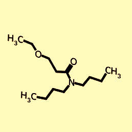 CCCCN(CCCC)C(=O)CCOCC